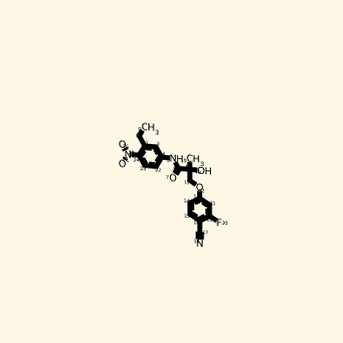 CCc1cc(NC(=O)C(C)(O)COc2ccc(C#N)c(F)c2)ccc1[N+](=O)[O-]